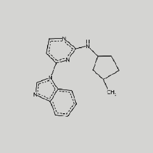 CC1CCC(Nc2nccc(-n3cnc4ccccc43)n2)C1